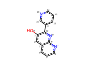 Oc1cc2cccnc2nc1-c1cccnc1